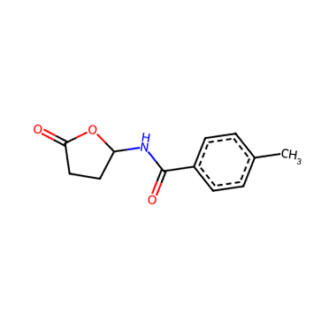 Cc1ccc(C(=O)NC2CCC(=O)O2)cc1